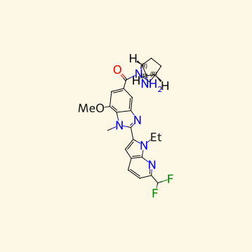 CCn1c(-c2nc3cc(C(=O)N4C[C@H]5CC[C@@H]4[C@@H]5N)cc(OC)c3n2C)cc2ccc(C(F)F)nc21